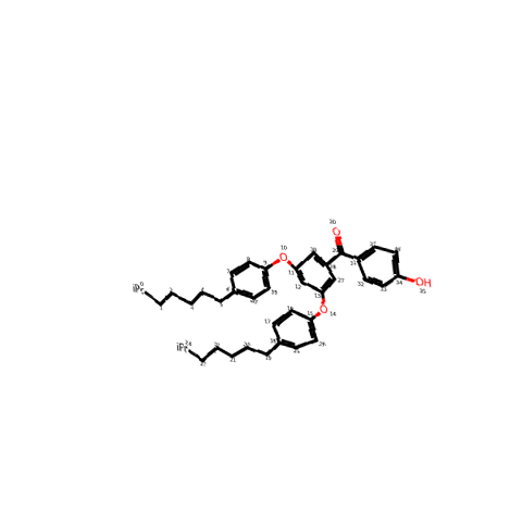 CC(C)CCCCCc1ccc(Oc2cc(Oc3ccc(CCCCCC(C)C)cc3)cc(C(=O)c3ccc(O)cc3)c2)cc1